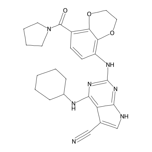 N#Cc1c[nH]c2nc(Nc3ccc(C(=O)N4CCCC4)c4c3OCCO4)nc(NC3CCCCC3)c12